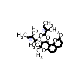 C/C=C(\C)C(=O)O[C@@H]1c2c(ccc3ccc(=O)oc23)OC(C)(C)[C@@H]1OC(=O)/C(C)=C/C